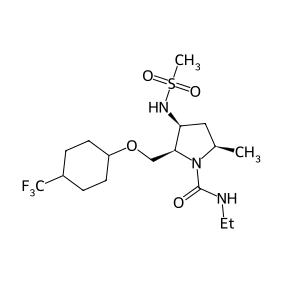 CCNC(=O)N1[C@H](C)C[C@H](NS(C)(=O)=O)[C@@H]1COC1CCC(C(F)(F)F)CC1